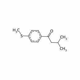 CSc1ccc(C(=O)CC(C)C)cc1